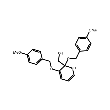 COc1ccc(COC2=CC=CNC2(CO)OCc2ccc(OC)cc2)cc1